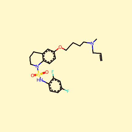 C=CCN(C)CCCCOc1ccc2c(c1)CCCN2S(=O)(=O)Nc1ccc(F)cc1F